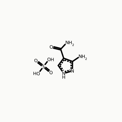 NC(=O)c1c[nH]nc1N.O=S(=O)(O)O